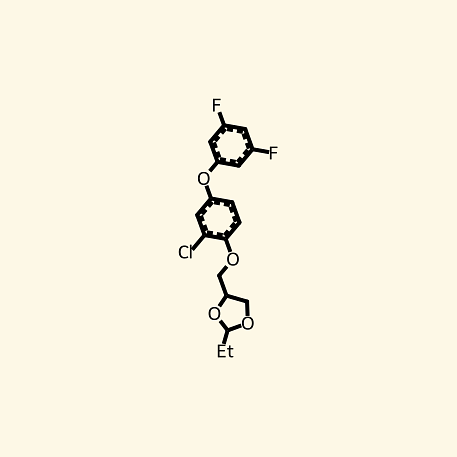 CCC1OCC(COc2ccc(Oc3cc(F)cc(F)c3)cc2Cl)O1